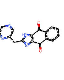 O=C1c2ccccc2C(=O)c2[nH]c(Cc3cnccn3)nc21